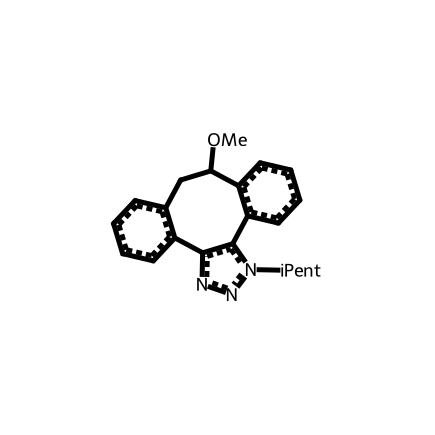 CCCC(C)n1nnc2c1-c1ccccc1C(OC)Cc1ccccc1-2